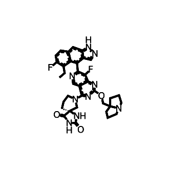 CCc1c(F)ccc2cc3[nH]ncc3c(-c3ncc4c(N5CCC[C@]6(C5)NC(=O)NC6=O)nc(OCC56CCCN5CCC6)nc4c3F)c12